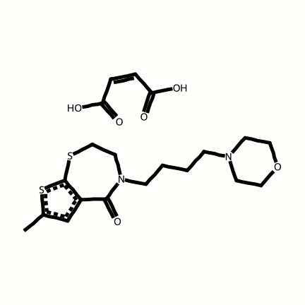 Cc1cc2c(s1)SCCN(CCCCN1CCOCC1)C2=O.O=C(O)/C=C\C(=O)O